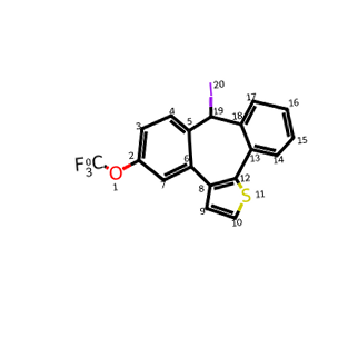 FC(F)(F)Oc1ccc2c(c1)-c1ccsc1-c1ccccc1C2I